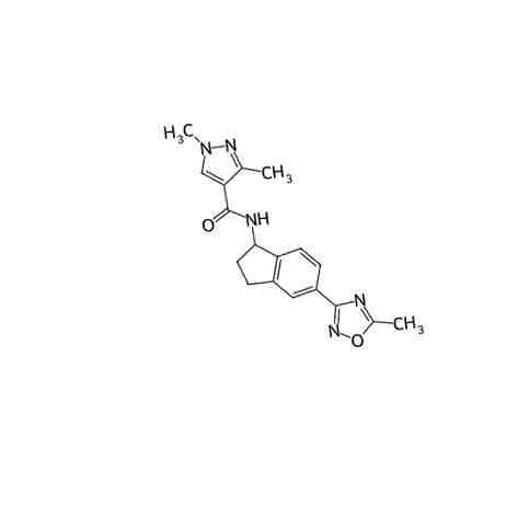 Cc1nc(-c2ccc3c(c2)CCC3NC(=O)c2cn(C)nc2C)no1